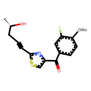 COc1ccc(C(=O)c2csc(C#CC[C@H](C)O)n2)cc1F